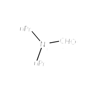 CCC[N+]([C]=O)CCC